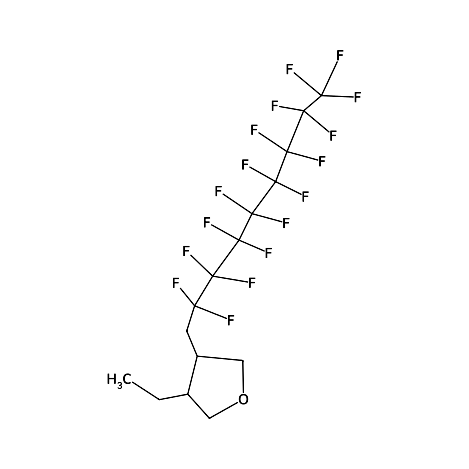 CCC1COCC1CC(F)(F)C(F)(F)C(F)(F)C(F)(F)C(F)(F)C(F)(F)C(F)(F)C(F)(F)F